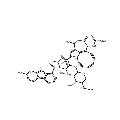 COC(=O)NC1C(=O)C[C@H](O)/C(=C/CS(C)(=S)=S)C2=C1C#C/C=C\C#C[C@@H]2OC1OC(C)C(SC)(C(=O)c2nccc3c2[nH]c2cc(O)ccc23)C(O)C1OC1CC(OC)C(NC(C)C)CO1